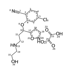 N#Cc1ccc(Cl)cc1OC(CCNCCO)c1ccno1.O=C(O)C(=O)O